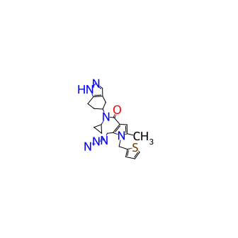 Cc1cc(C(=O)N(C2CC2)C2CCc3[nH]ncc3C2)c(CN=[N+]=[N-])n1Cc1cccs1